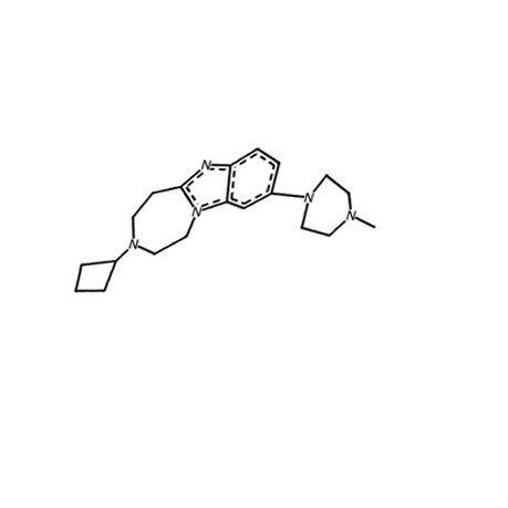 CN1CCN(c2ccc3nc4n(c3c2)CCN(C2CCC2)CC4)CC1